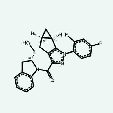 O=C(c1nn(-c2ccc(F)cc2F)c2c1C[C@H]1C[C@@H]21)N1c2ccccc2C[C@@H]1CO